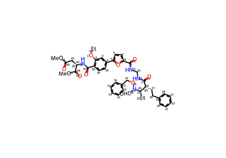 CCOc1cc(-c2ccc(C(=O)NCNC(=O)[C@H](CCc3ccccc3)[C@@H](CC)N(C=O)OCc3ccccc3)o2)ccc1C(=O)N[C@H](CC(=O)OC)C(=O)OC